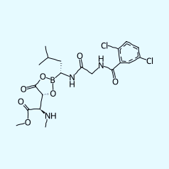 CN[C@@H](C(=O)OC)[C@H]1OB([C@H](CC(C)C)NC(=O)CNC(=O)c2cc(Cl)ccc2Cl)OC1=O